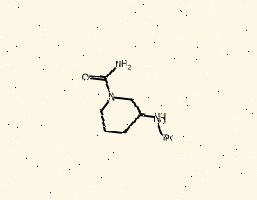 CC(C)NC1CCCN(C(N)=O)C1